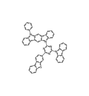 c1ccc(-n2c3ccccc3c3cc4c(cc32)c2ccccc2n4-c2nc(-c3ccc4c(c3)sc3ccccc34)nc(-n3c4ccccc4c4ccccc43)n2)cc1